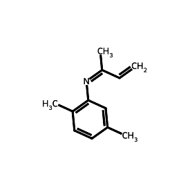 C=C/C(C)=N\c1cc(C)ccc1C